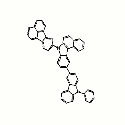 c1ccc(-n2c3ccccc3c3cc(-c4ccc5c(c4)c4c6ccccc6ccc4n5-c4ccc5c(n4)-c4cccc6nccc-5c46)ccc32)cc1